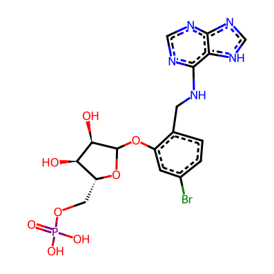 O=P(O)(O)OC[C@H]1OC(Oc2cc(Br)ccc2CNc2ncnc3nc[nH]c23)[C@H](O)[C@@H]1O